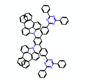 c1ccc(-c2nc(-c3ccccc3)nc(-c3ccc(-c4cc(-c5ccc(-c6nc(-c7ccccc7)nc(-c7ccccc7)n6)cc5)c(-n5c6cccc(-c7ccccc7)c6c6c(-c7ccccc7)cccc65)cc4-n4c5cccc(-c6ccccc6)c5c5c(-c6ccccc6)cccc54)cc3)n2)cc1